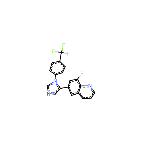 Fc1cc(-c2cncn2-c2ccc(C(F)(F)F)cc2)cc2cccnc12